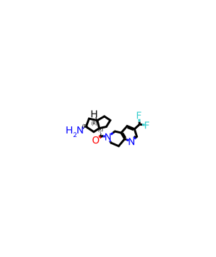 N[C@@H]1C[C@H]2CCC[C@@]2(C(=O)N2CCc3ncc(C(F)F)cc3C2)C1